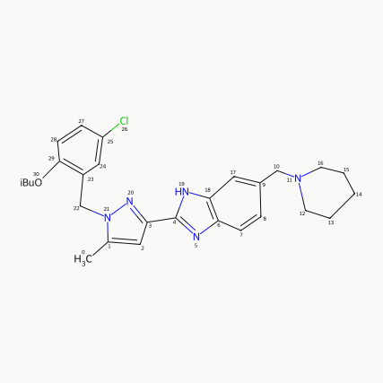 Cc1cc(-c2nc3ccc(CN4CCCCC4)cc3[nH]2)nn1Cc1cc(Cl)ccc1OCC(C)C